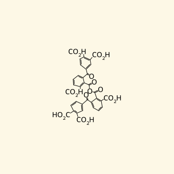 O=C(O)c1ccc(C(=O)c2cccc(C(=O)O)c2C(=O)OC(=O)c2c(C(=O)O)cccc2C(=O)c2ccc(C(=O)O)c(C(=O)O)c2)cc1C(=O)O